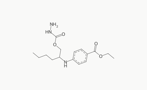 CCCCC(COC(=O)NN)Nc1ccc(C(=O)OCC)cc1